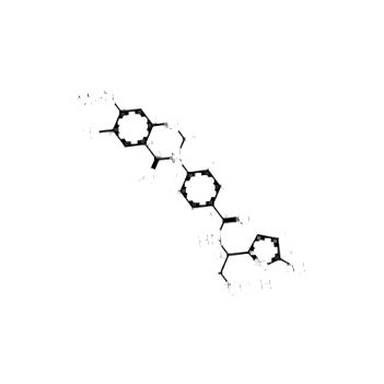 CNc1cc2c(cc1F)C(=O)N(c1ccc(C(=O)NC(CC(=O)O)c3ccc(Cl)s3)cc1)CO2